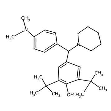 CN(C)c1ccc(C(c2cc(C(C)(C)C)c(O)c(C(C)(C)C)c2)N2CCCCC2)cc1